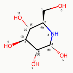 OC[C@H]1N[C@H](O)[C@H](O)[C@@H](O)[C@@H]1O